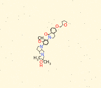 COc1cc(N2CCc3cc(OC[C@H]4CCCO4)ccc3C2=O)ccc1N1CCC2CN(CC(C)(C)O)CC21